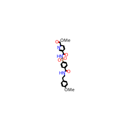 COC(=O)c1ccc(C(=O)NS(=O)(=O)c2ccc(C(=O)NCCc3ccc(OC)cc3)cc2)cn1